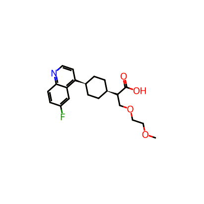 COCCOCC(C(=O)O)[C@H]1CC[C@@H](c2ccnc3ccc(F)cc32)CC1